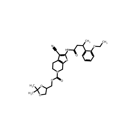 CCOc1ccccc1C(C)CC(=O)Nc1sc2c(c1C#N)CCN(C(=O)OCC1COC(C)(C)O1)C2